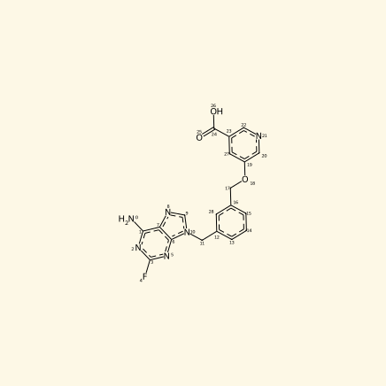 Nc1nc(F)nc2c1ncn2Cc1cccc(COc2cncc(C(=O)O)c2)c1